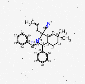 C=CCC(C#N)(C#N)C1=CC(C)(C)CCC1C(/C=C/c1ccccc1)c1ccccc1